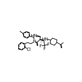 C=C(C)C1CCC(N/C(=C(\C=N)C(=C)N(CCc2ccccc2Cl)Cc2ccc(C)cc2)C(F)(F)F)CC1